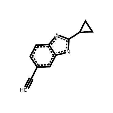 C#Cc1ccc2sc(C3CC3)nc2c1